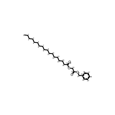 CCCCCCCCCCCCCCCCCC(=O)OCC(=O)OCc1ccccc1